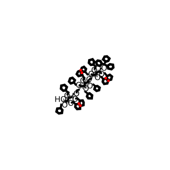 O[C@@H](OCc1ccccc1)[C@@H](OCc1ccccc1)[C@H](OCc1ccccc1)[C@@H](COCC[C@H](OCc1ccccc1)[C@H](OCc1ccccc1)[C@@H](OCc1ccccc1)[C@@H](OCc1ccccc1)OC[C@@H](OCc1ccccc1)[C@@H](OCc1ccccc1)[C@H](OCc1ccccc1)[C@@H](COC(c1ccccc1)(c1ccccc1)c1ccccc1)OCc1ccccc1)OCc1ccccc1